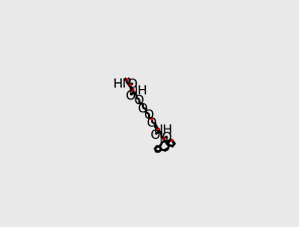 CC(C)NC(=O)CNC(=O)CCOCCOCCOCCOCCNC(=O)CCC(=O)N1Cc2ccccc2C#Cc2ccccc21